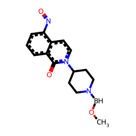 COBN1CCC(n2ccc3c(N=O)cccc3c2=O)CC1